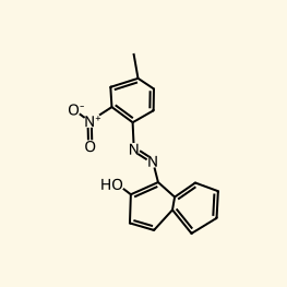 Cc1ccc(N=Nc2c(O)ccc3ccccc23)c([N+](=O)[O-])c1